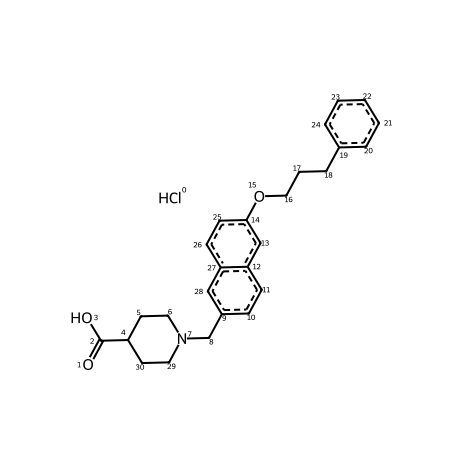 Cl.O=C(O)C1CCN(Cc2ccc3cc(OCCCc4ccccc4)ccc3c2)CC1